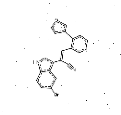 N#C/C(=C\c1cnccc1-c1ccoc1)c1c[nH]c2ccc(Br)cc12